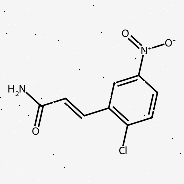 NC(=O)/C=C/c1cc([N+](=O)[O-])ccc1Cl